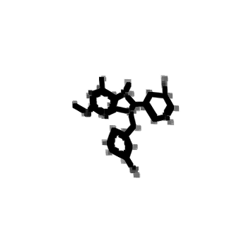 COc1nc(C)c2c(n1)N(Cc1cccc(Br)c1)C(C1=CN=CC(F)C1)N2C